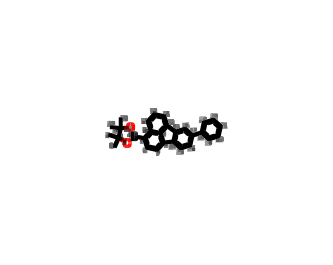 CC1(C)OB(c2ccc3c4c(cccc24)-c2cc(-c4ccccc4)ccc2-3)OC1(C)C